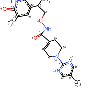 CC(CONC(=O)C1=CCN(c2ncc(C(F)(F)F)cn2)CC1)c1c[nH]c(=O)c(C(F)(F)F)c1